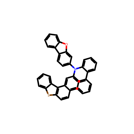 c1ccc(-c2ccccc2N(c2ccc3c(c2)oc2ccccc23)c2ccc3ccc4sc5ccccc5c4c3c2)cc1